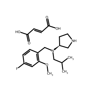 COc1cc(F)ccc1CN(CC(C)C)[C@H]1CCNC1.O=C(O)/C=C/C(=O)O